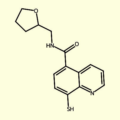 O=C(NCC1CCCO1)c1ccc(S)c2ncccc12